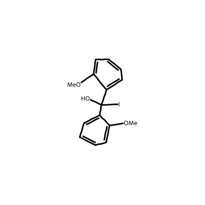 COc1ccccc1C(O)(I)c1ccccc1OC